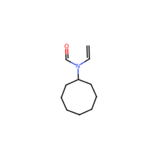 C=CN(C=O)C1CCCCCCC1